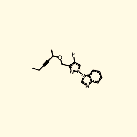 CCC#CC(C)OCc1nn(-n2cnc3ccccc32)cc1F